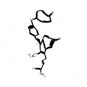 CC1=C(C/C=C/C(N)=O)c2cc(F)ccc2/C1=C\c1ccc(Oc2ccc(F)cc2)cc1